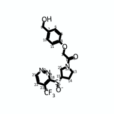 O=C(COc1ccc(CO)cc1)N1CCC([S+]([O-])c2nnccc2C(F)(F)F)C1